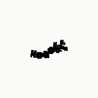 CC(C)(C#N)OC(=O)Nc1ccc(-c2ncn(-c3ccc(OC(F)(F)F)cc3)n2)cc1